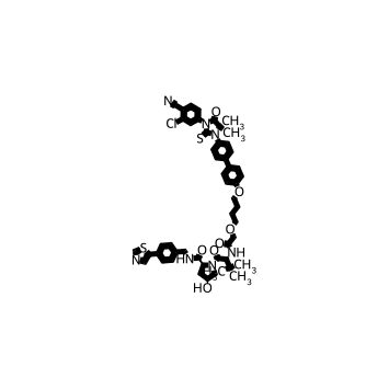 CC(C)(C)[C@H](NC(=O)COCCCCOc1ccc(-c2ccc(N3C(=S)N(c4ccc(C#N)c(Cl)c4)C(=O)C3(C)C)cc2)cc1)C(=O)N1C[C@H](O)C[C@H]1C(=O)NCc1ccc(-c2cncs2)cc1